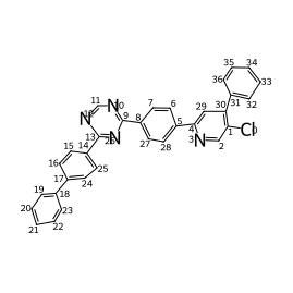 Clc1cnc(-c2ccc(-c3ncnc(-c4ccc(-c5ccccc5)cc4)n3)cc2)cc1-c1ccccc1